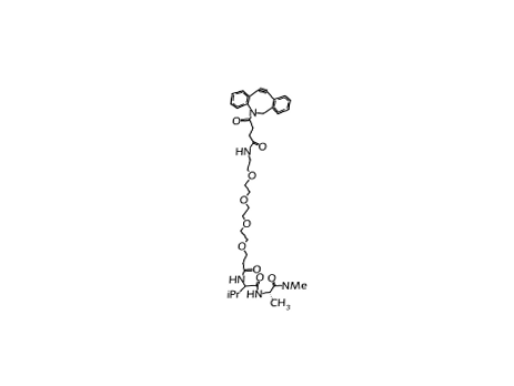 CNC(=O)[C@H](C)NC(=O)C(NC(=O)CCOCCOCCOCCOCCNC(=O)CCC(=O)N1Cc2ccccc2C#Cc2ccccc21)C(C)C